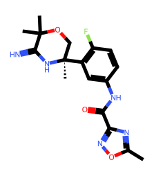 Cc1nc(C(=O)Nc2ccc(F)c([C@]3(C)COC(C)(C)C(=N)N3)c2)no1